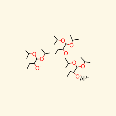 CCC([O-])C(OC(C)C)OC(C)C.CCC([O-])C(OC(C)C)OC(C)C.CCC([O-])C(OC(C)C)OC(C)C.[Al+3]